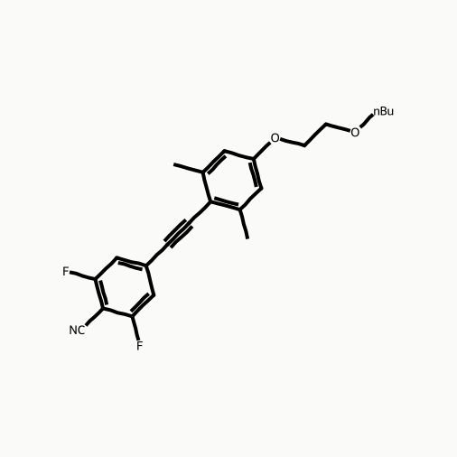 CCCCOCCOc1cc(C)c(C#Cc2cc(F)c(C#N)c(F)c2)c(C)c1